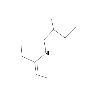 C/C=C(/CC)NCC(C)CC